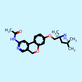 CC(=O)Nc1cc2c(cn1)COc1cc(OC[C@@](C)(N)CC(C)C)ccc1-2